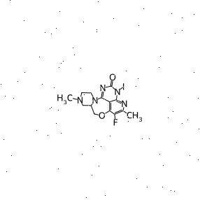 Cc1nc2c3c(nc(=O)n2I)N2CCN(C)CC2COc3c1F